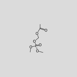 COP(=O)(OC)OCOC(C)=O